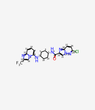 O=C(N[C@H]1CC[C@@H](Nc2cccc3nc(C(F)(F)F)cn23)CC1)c1cn2nc(Cl)ccc2n1